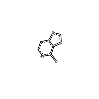 O=c1[nH]ncc2s[c]nc12